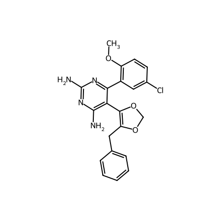 COc1ccc(Cl)cc1-c1nc(N)nc(N)c1C1=C(Cc2ccccc2)OCO1